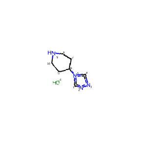 Cl.c1nncn1C1CCNCC1